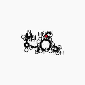 CN[C@H]1C[C@@H](C)O[C@@H](O[C@@H]2[C@@H](C)[C@H](O[C@H]3C[C@@](C)(OC)[C@@H](O)[C@H](C)O3)[C@@H](C)C(=O)O[C@H](I)[C@@]3(C)OC(=O)N(CCCOc4cc(C(=O)Nc5c(Cl)cncc5Cl)ccc4OC)[C@@H]3[C@@H](C)C(=O)[C@H](C)C[C@@]2(C)OC)[C@@H]1O